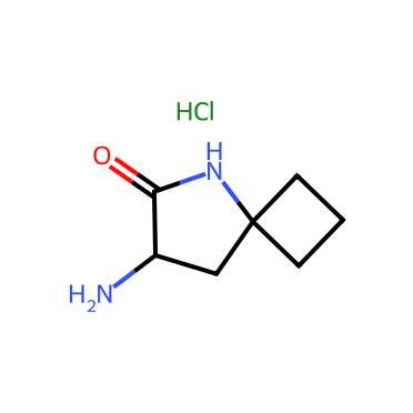 Cl.NC1CC2(CCC2)NC1=O